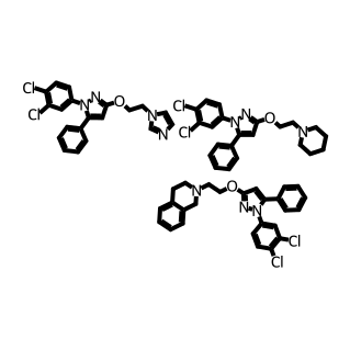 Clc1ccc(-n2nc(OCCN3CCCCC3)cc2-c2ccccc2)cc1Cl.Clc1ccc(-n2nc(OCCN3CCc4ccccc4C3)cc2-c2ccccc2)cc1Cl.Clc1ccc(-n2nc(OCCn3ccnc3)cc2-c2ccccc2)cc1Cl